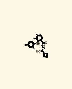 O=C(NOC(O)C1CCC1)c1ccc(F)c(F)c1Nc1ccc(I)cc1F